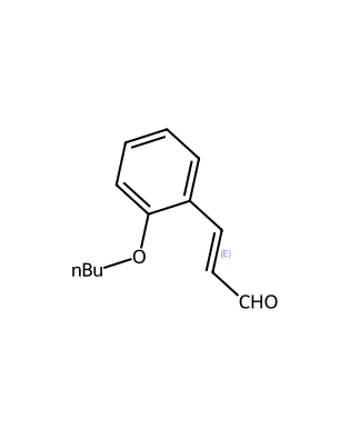 CCCCOc1ccccc1/C=C/C=O